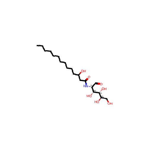 CCCCCCCCCCCC(O)CC(=O)N[C@H](C=O)[C@@H](O)[C@H](O)[C@H](O)CO